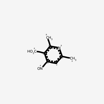 Cc1cc(N=O)c(C(=O)O)c(C)n1